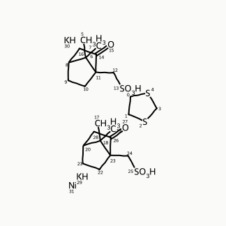 C1CSCS1.CC1(C)C2CCC1(CS(=O)(=O)O)C(=O)C2.CC1(C)C2CCC1(CS(=O)(=O)O)C(=O)C2.[KH].[KH].[Ni]